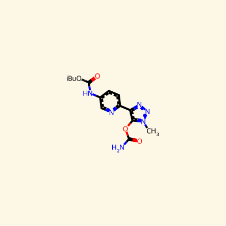 CC(C)COC(=O)Nc1ccc(-c2nnn(C)c2OC(N)=O)nc1